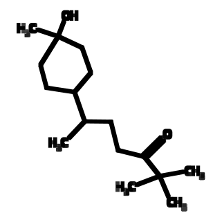 CC(CCC(=O)C(C)(C)C)C1CCC(C)(O)CC1